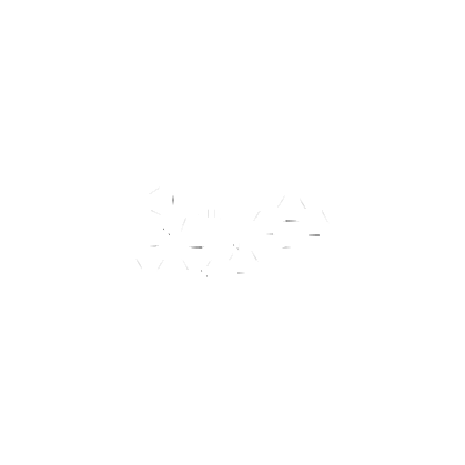 Cc1c2ccccc2n2c3ccccc3c3cnc(-c4cccc(-c5ccc6ccc7cccc8ccc5c6c78)n4)cc3c12